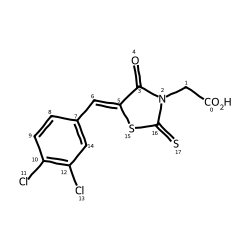 O=C(O)CN1C(=O)C(=Cc2ccc(Cl)c(Cl)c2)SC1=S